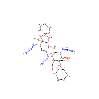 [N-]=[N+]=NC1C[C@@H](N=[N+]=[N-])[C@H]2OC3(CCCCC3)OC2[C@@H]1O[C@H]1OC2COC3(CCCCC3)O[C@H]2[C@H](O)C1N=[N+]=[N-]